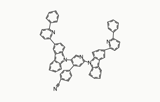 N#Cc1ccc(-c2cc(-n3c4ccccc4c4cc(-c5cccc(-c6ccccc6)n5)ccc43)ncc2-n2c3ccccc3c3cc(-c4cccc(-c5ccccc5)n4)ccc32)cc1